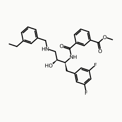 CCc1cccc(CNC[C@H](O)[C@H](Cc2cc(F)cc(F)c2)NC(=O)c2cccc(C(=O)OC)c2)c1